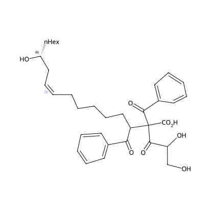 CCCCCC[C@@H](O)C/C=C\CCCCCC(C(=O)c1ccccc1)C(C(=O)O)(C(=O)c1ccccc1)C(=O)C(O)CO